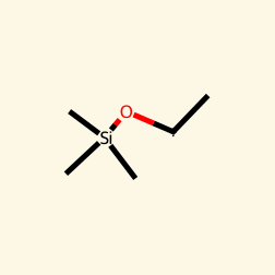 C[CH]O[Si](C)(C)C